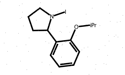 CC(C)Oc1ccccc1C1CCCN1I